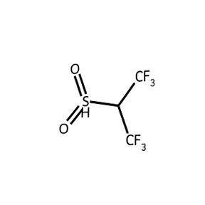 O=[SH](=O)C(C(F)(F)F)C(F)(F)F